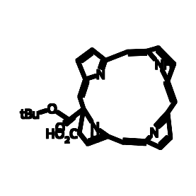 CC(C)(C)OC(=O)C12C=C3C=CC(=N3)C=c3ccc([nH]3)=CC3=NC(=CC(=C[C@@H]1C(=O)O)N2)C=C3